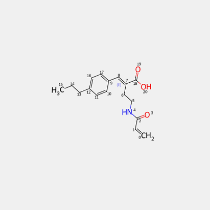 C=CC(=O)NCC/C(=C\c1ccc(CCC)cc1)C(=O)O